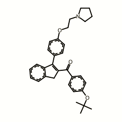 CC(C)(C)Oc1ccc(C(=O)C2=C(c3ccc(OCCN4CCCC4)cc3)c3ccccc3C2)cc1